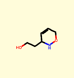 OCCC1C=CCON1